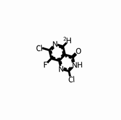 [2H]c1nc(Cl)c(F)c2nc(Cl)[nH]c(=O)c12